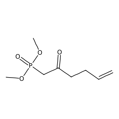 C=CCCC(=O)CP(=O)(OC)OC